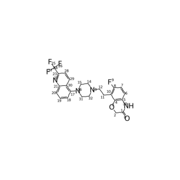 O=C1COc2c(ccc(F)c2CCN2CCN(c3cccc4nc(C(F)(F)F)ccc34)CC2)N1